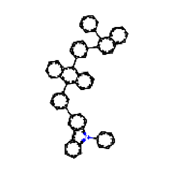 c1ccc(-c2c(-c3cccc(-c4c5ccccc5c(-c5cccc(-c6ccc7c(c6)c6ccccc6n7-c6ccccc6)c5)c5ccccc45)c3)ccc3ccccc23)cc1